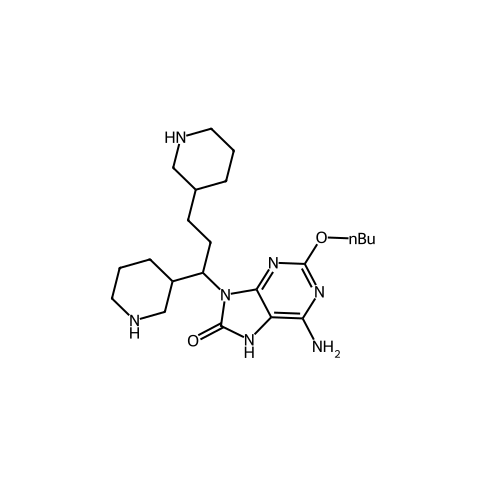 CCCCOc1nc(N)c2[nH]c(=O)n(C(CCC3CCCNC3)C3CCCNC3)c2n1